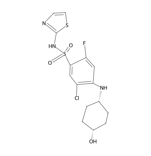 O=S(=O)(Nc1nccs1)c1cc(Cl)c(N[C@H]2CC[C@@H](O)CC2)cc1F